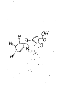 Cn1c(Cc2c(Cl)ccc(C(=O)O)c2Cl)cc2c(C#N)c(C#N)c(C#N)cc21